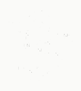 CN1CC[C@@H](OC2CCN(C3CCNCC3NC(=O)C(C(N)N)C3CC4(CCCC4)CCC(F)CN3)CC2)C1